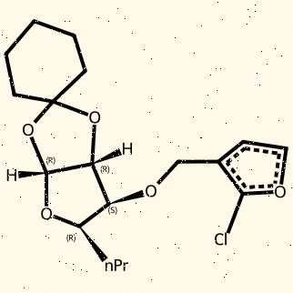 CCC[C@H]1O[C@@H]2OC3(CCCCC3)O[C@@H]2[C@H]1OCc1ccoc1Cl